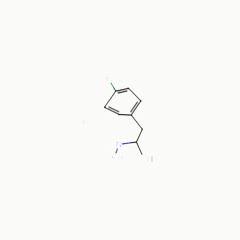 CNC(C)Cc1ccc(F)cc1.Cl